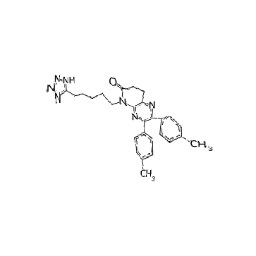 Cc1ccc(-c2nc3c(nc2-c2ccc(C)cc2)N(CCCCCc2nnn[nH]2)C(=O)CC3)cc1